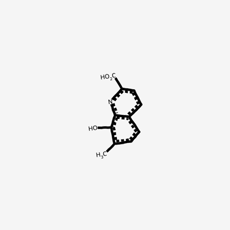 Cc1ccc2ccc(C(=O)O)nc2c1O